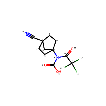 N#CC12CCC(N(C(=O)O)C(=O)C(F)(F)F)(CC1)C2